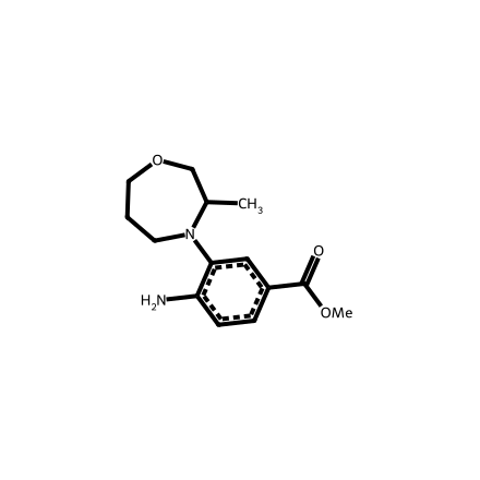 COC(=O)c1ccc(N)c(N2CCCOCC2C)c1